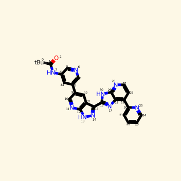 CC(C)(C)C(=O)Nc1cncc(-c2cnc3[nH]nc(-c4nc5c(-c6ccccn6)ccnc5[nH]4)c3c2)c1